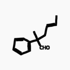 CC=CCC(C)(C=O)c1ccccc1